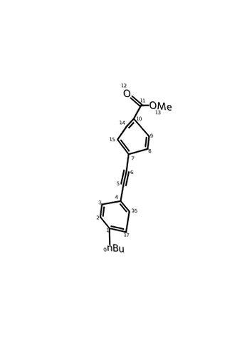 CCCCc1ccc(C#Cc2ccc(C(=O)OC)cc2)cc1